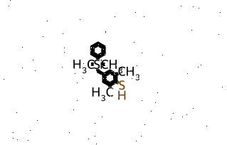 Cc1cc(C[Si](C)(C)c2ccccc2)cc(C)c1S